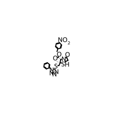 C[C@@]1(CSc2nnnn2-c2ccccc2)S[C@@H]2CC(=O)N2[C@H]1C(=O)OCc1ccc([N+](=O)[O-])cc1